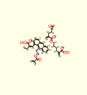 C=C(C)C(=O)ON=Cc1c2ccccc2cc2cccc(C=C(CC)C(=O)O)c12.C=C(CCCCOC(=O)C(=C)CCC1CO1)C(=O)O